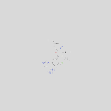 CC(c1ccc(C(F)(F)F)cn1)N(C)C(=O)c1cc2c(cc1F)nc(N)c1cncn12